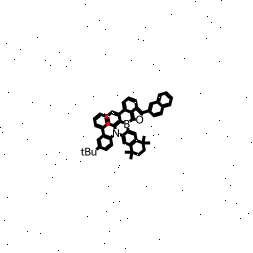 Cc1cc2c3c(c1)N(c1ccc(C(C)(C)C)cc1-c1ccccc1)c1cc4c(cc1B3c1oc(-c3ccc5ccccc5c3)c3cccc-2c13)C(C)(C)CCC4(C)C